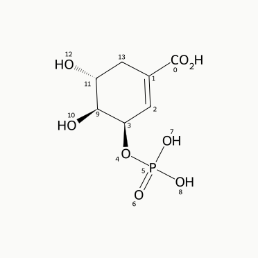 O=C(O)C1=C[C@@H](OP(=O)(O)O)[C@@H](O)[C@H](O)C1